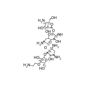 CN[C@@H]1[C@@H](O[C@H]2O[C@H](CO)[C@@H](N)[C@H](O)[C@H]2O)OC2C[C@@H](N)[C@@H](O[C@H]3[C@H](OC4O[C@H](CO)[C@@H](OCCN)[C@H]4O)[C@@H](O)[C@H](N)C[C@@H]3N)OC2[C@@H]1O